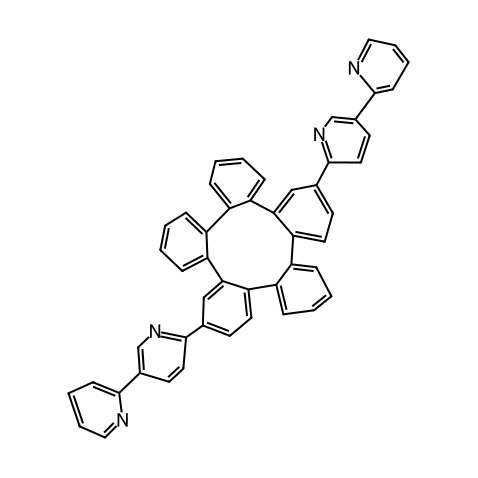 c1ccc(-c2ccc(-c3ccc4c5ccccc5c5ccc(-c6ccc(-c7ccccn7)cn6)cc5c5ccccc5c5ccccc5c4c3)nc2)nc1